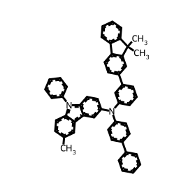 Cc1ccc2c(c1)c1cc(N(c3ccc(-c4ccccc4)cc3)c3cccc(-c4ccc5c(c4)C(C)(C)c4ccccc4-5)c3)ccc1n2-c1ccccc1